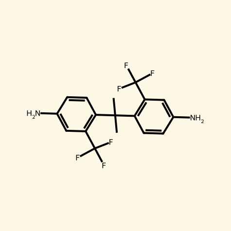 CC(C)(c1ccc(N)cc1C(F)(F)F)c1ccc(N)cc1C(F)(F)F